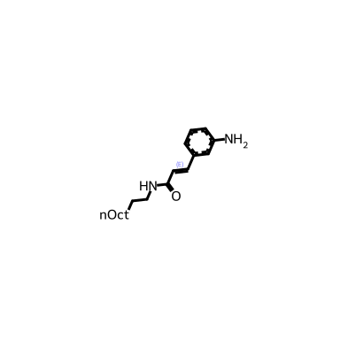 CCCCCCCCCCNC(=O)/C=C/c1cccc(N)c1